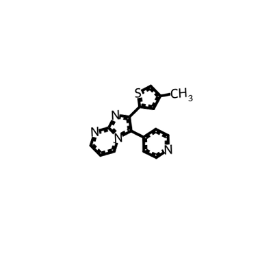 Cc1csc(-c2nc3ncccn3c2-c2ccncc2)c1